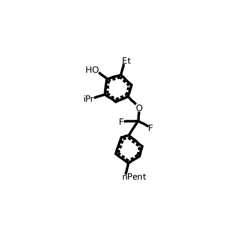 CCCCCc1ccc(C(F)(F)Oc2cc(CC)c(O)c(C(C)C)c2)cc1